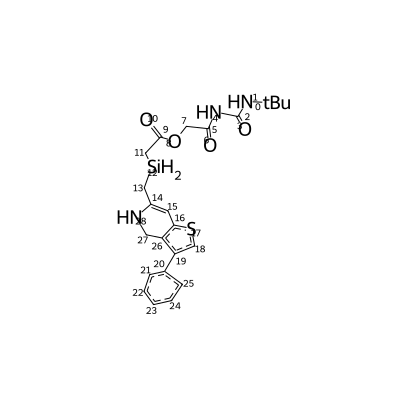 CC(C)(C)NC(=O)NC(=O)COC(=O)C[SiH2]CC1=Cc2scc(-c3ccccc3)c2CN1